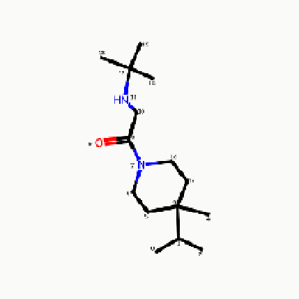 CC(C)C1(C)CCN(C(=O)CNC(C)(C)C)CC1